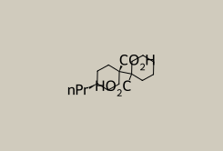 CCC[C@H]1CC[C@](C(=O)O)(C2(C(=O)O)CCCCC2)CC1